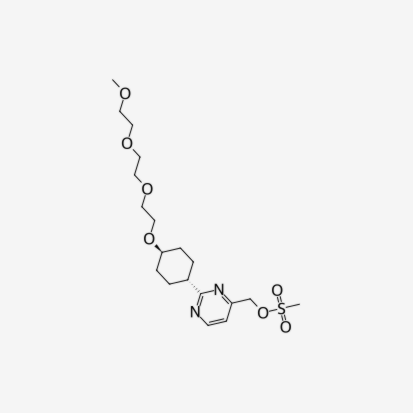 COCCOCCOCCO[C@H]1CC[C@H](c2nccc(COS(C)(=O)=O)n2)CC1